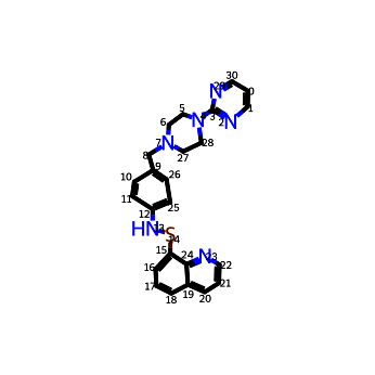 c1cnc(N2CCN(Cc3ccc(NSc4cccc5cccnc45)cc3)CC2)nc1